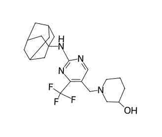 OC1CCCN(Cc2cnc(NC34CC5CC(CC(C5)C3)C4)nc2C(F)(F)F)C1